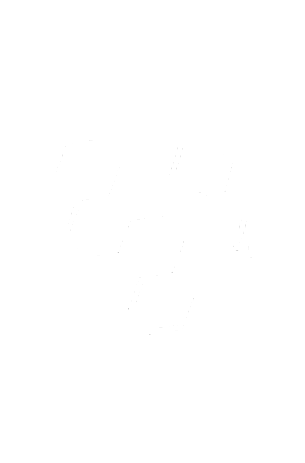 C=Cc1ccccc1.c1ccc2c(c1)ccc1c3c(ccc12)CCCC3